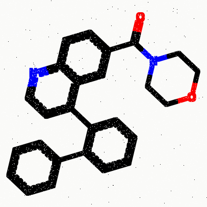 O=C(c1ccc2nccc(-c3ccccc3-c3ccccc3)c2c1)N1CCOCC1